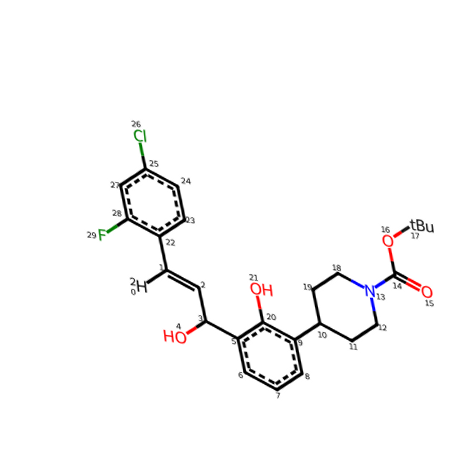 [2H]C(=CC(O)c1cccc(C2CCN(C(=O)OC(C)(C)C)CC2)c1O)c1ccc(Cl)cc1F